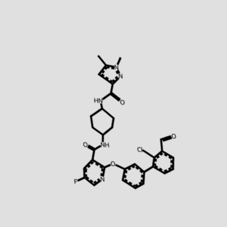 Cc1cc(C(=O)NC2CCC(NC(=O)c3cc(F)cnc3Oc3cccc(-c4cccc(C=O)c4Cl)c3)CC2)nn1C